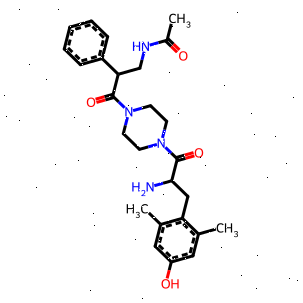 CC(=O)NCC(C(=O)N1CCN(C(=O)C(N)Cc2c(C)cc(O)cc2C)CC1)c1ccccc1